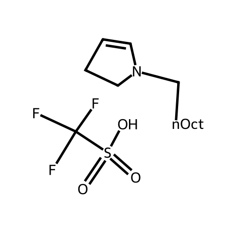 CCCCCCCCCN1C=CCC1.O=S(=O)(O)C(F)(F)F